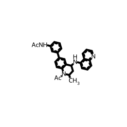 CC(=O)Nc1cccc(-c2ccc3c(c2)C(Nc2cccc4ncccc24)CC(C)N3C(C)=O)c1